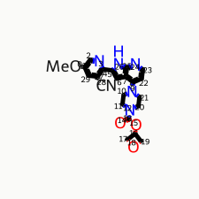 COc1cnc(-c2cc3c(N4CCN(C(=O)OC5COC5)CC4)ccnc3[nH]2)c(C#N)c1